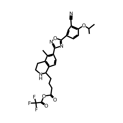 Cc1c(-c2noc(-c3ccc(OC(C)C)c(C#N)c3)n2)ccc2c1CCNC2CCCC(=O)OC(=O)C(F)(F)F